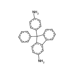 Nc1ccc(C2(c3ccccc3)c3[c]cc(N)cc3-c3ccccc32)cc1